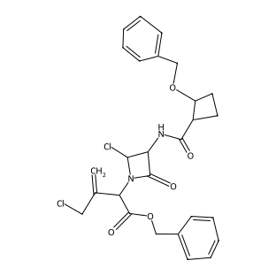 C=C(CCl)C(C(=O)OCc1ccccc1)N1C(=O)C(NC(=O)C2CCC2OCc2ccccc2)C1Cl